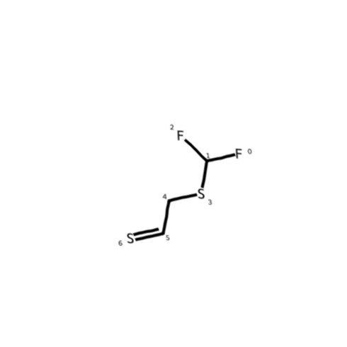 FC(F)SCC=S